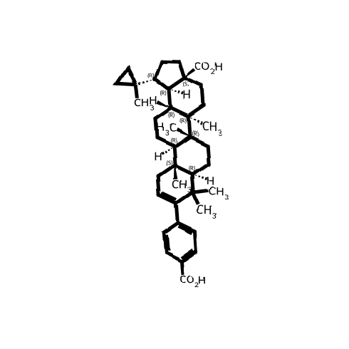 CC1([C@@H]2CC[C@]3(C(=O)O)CC[C@]4(C)[C@H](CC[C@@H]5[C@@]6(C)CC=C(c7ccc(C(=O)O)cc7)C(C)(C)[C@@H]6CC[C@]54C)[C@@H]23)CC1